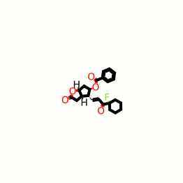 O=C1C[C@@H]2[C@@H](/C=C/C(=O)C3(F)CCCCC3)[C@H](OC(=O)c3ccccc3)C[C@@H]2O1